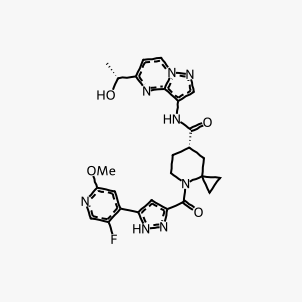 COc1cc(-c2cc(C(=O)N3CC[C@H](C(=O)Nc4cnn5ccc([C@@H](C)O)nc45)CC34CC4)n[nH]2)c(F)cn1